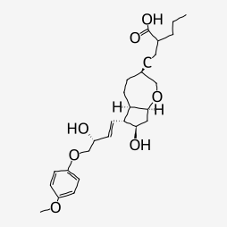 CCCC(CC[C@@H]1CC[C@@H]2[C@@H](C=C[C@@H](O)COc3ccc(OC)cc3)[C@H](O)C[C@@H]2OC1)C(=O)O